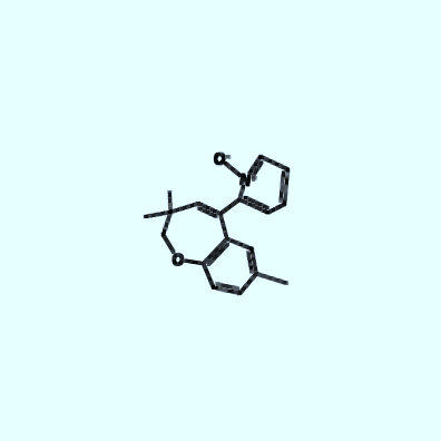 Cc1ccc2c(c1)C(c1cccc[n+]1[O-])=CC(C)(C)CO2